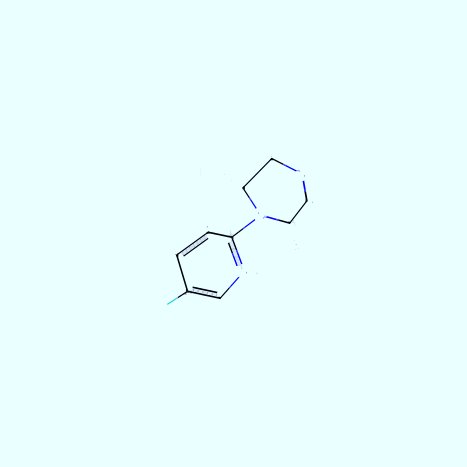 C[C@@H]1CNC[C@H](C)N1c1ccc(F)cn1